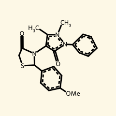 COc1ccc(C2SCC(=O)N2c2c(C)n(C)n(-c3ccccc3)c2=O)cc1